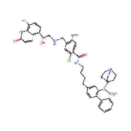 COc1cc(C(=O)NCCCCc2ccc(-c3ccccc3)c(N(C(=O)O)C34CCN(CC3)CC4)c2)c(Cl)cc1CNC[C@H](O)c1ccc(O)c2[nH]c(=O)ccc12